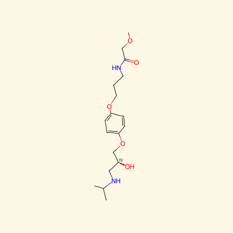 COCC(=O)NCCCOc1ccc(OC[C@@H](O)CNC(C)C)cc1